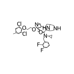 Cc1cc(Cl)c(OCCOc2ncc(C3=C(C(=O)N(Cc4cccc(F)c4F)C4CC4)C4CNCC(C3)N4)s2)c(Cl)c1